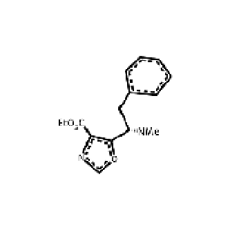 CCOC(=O)c1ncoc1[C@H](Cc1ccccc1)NC